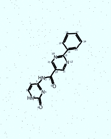 O=C(Nc1cc[nH]c(=O)n1)c1cnc(-c2ccccc2)nc1